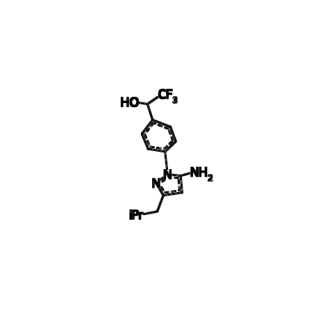 CC(C)Cc1cc(N)n(-c2ccc(C(O)C(F)(F)F)cc2)n1